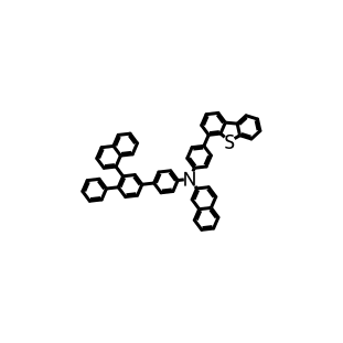 c1ccc(-c2ccc(-c3ccc(N(c4ccc(-c5cccc6c5sc5ccccc56)cc4)c4ccc5ccccc5c4)cc3)cc2-c2cccc3ccccc23)cc1